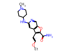 CCO/C=C/c1c(C(N)=O)oc2cnc(NC3CCN(C)CC3)cc12